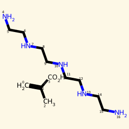 C=C(C)C(=O)O.NCCNCCNCCNCCN